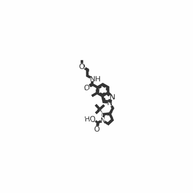 COCCNC(=O)c1ccc2nn(CC3CCN(C(=O)O)[C@@H]3C(C)(C)C)cc2c1C